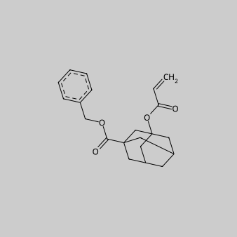 C=CC(=O)OC12CC3CC(C1)CC(C(=O)OCc1ccccc1)(C3)C2